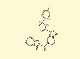 Cc1cnc(C2(NC(=O)c3cnn4c3CN(C(=O)c3cc5ccccc5[nH]3)CC4)CC2)nc1